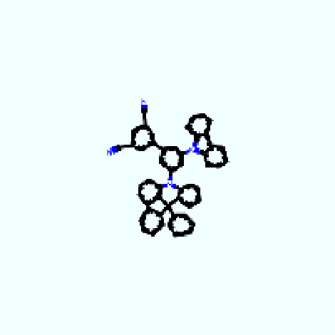 N#Cc1cc(C#N)cc(-c2cc(N3c4ccccc4C(c4ccccc4)(c4ccccc4)c4ccccc43)cc(-n3c4ccccc4c4ccccc43)c2)c1